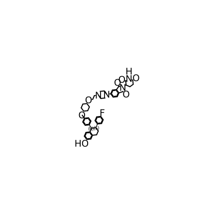 O=C1CCC(N2C(=O)c3ccc(N4CCN(CCOC5CCC(Oc6ccc([C@@H]7c8ccc(O)cc8CC[C@@H]7c7ccc(F)cc7)cc6)CC5)CC4)cc3C2=O)C(=O)N1